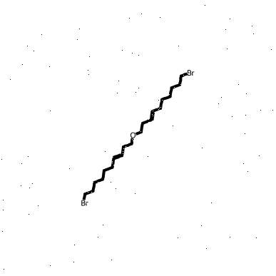 BrCCCCCCC=CCCOCCC=CCCCCCCBr